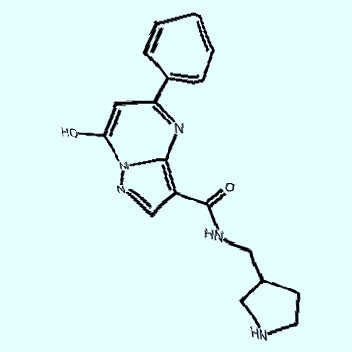 O=C(NCC1CCNC1)c1cnn2c(O)cc(-c3ccccc3)nc12